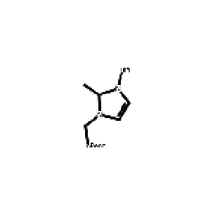 CCCCCCN1C=CN(CCC)C1C